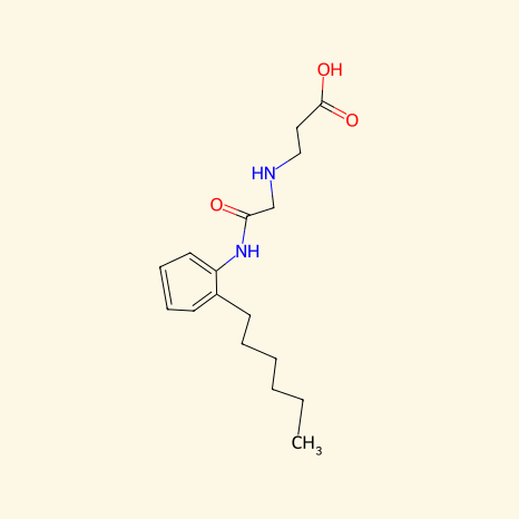 CCCCCCc1ccccc1NC(=O)CNCCC(=O)O